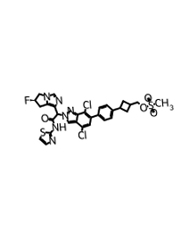 CS(=O)(=O)OCC1CC(c2ccc(-c3cc(Cl)c4cn(C(C(=O)Nc5nccs5)c5ncn6c5C[C@@H](F)C6)nc4c3Cl)cc2)C1